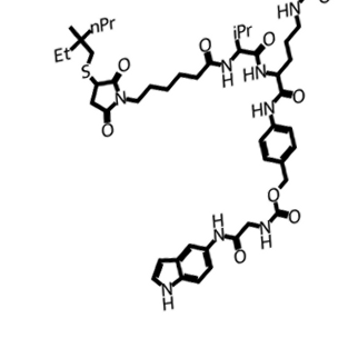 CCCC(C)(CC)CSC1CC(=O)N(CCCCCC(=O)NC(C(=O)NC(CCCNC(N)=O)C(=O)Nc2ccc(COC(=O)NCC(=O)Nc3ccc4[nH]ccc4c3)cc2)C(C)C)C1=O